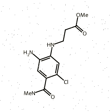 CNC(=O)c1cc(N)c(NCCC(=O)OC)cc1Cl